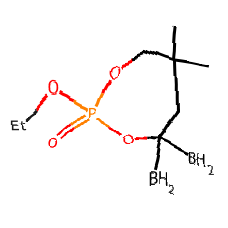 BC1(B)CC(C)(C)COP(=O)(OCC)O1